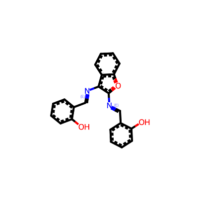 Oc1ccccc1/C=N/c1oc2ccccc2c1/N=C/c1ccccc1O